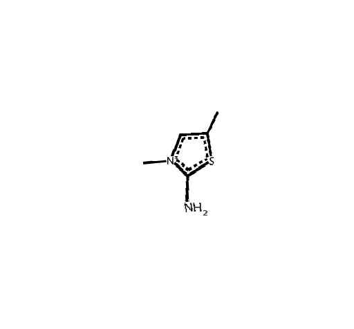 Cc1c[n+](C)c(N)s1